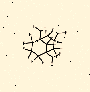 CC1(F)C(F)(F)C2(C(F)F)C(F)(F)C(C)(CF)C(F)(F)C(C(F)F)(C1(F)F)C2(F)F